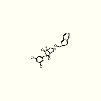 O=C1[C@@H]2C[C@H](OCc3ccc4cnccc4c3)CN2C(=O)N1c1cc(Cl)cc(Cl)c1